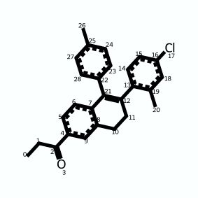 CCC(=O)c1ccc2c(c1)CCC(c1ccc(Cl)cc1C)=C2c1ccc(C)cc1